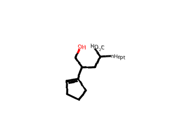 CCCCCCCC(CC(CO)C1=CCCC1)C(=O)O